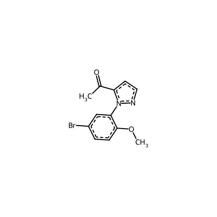 COc1ccc(Br)cc1-n1nccc1C(C)=O